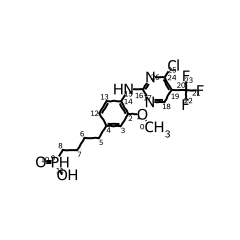 COc1cc(CCCC[PH](=O)O)ccc1Nc1ncc(C(F)(F)F)c(Cl)n1